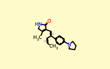 C/C=C\C(=C/C1=C(C)CNC1=O)c1ccc(N2CCCC2)cc1